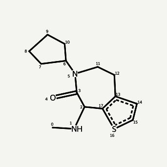 CNC1C(=O)N(C2CCCC2)CCc2ccsc21